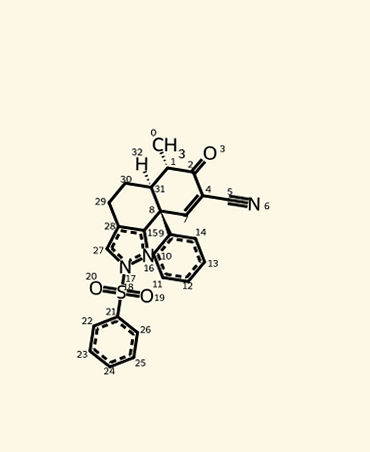 C[C@@H]1C(=O)C(C#N)=C[C@]2(c3ccccc3)c3nn(S(=O)(=O)c4ccccc4)cc3CC[C@@H]12